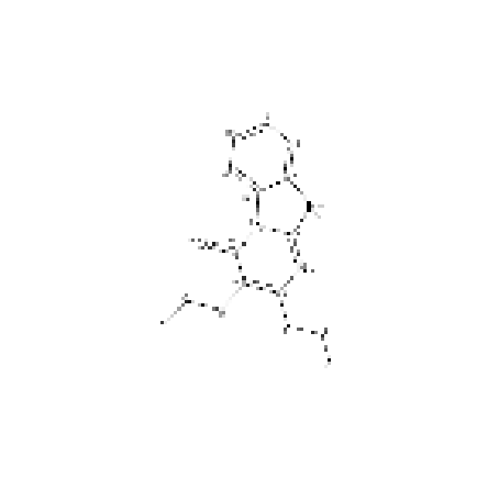 CCCc1nc2[nH]c3ccccc3n2c(=O)c1CCC